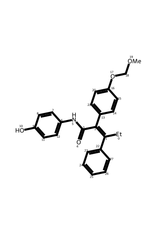 CC/C(=C(/C(=O)Nc1ccc(O)cc1)c1ccc(OCOC)cc1)c1ccccc1